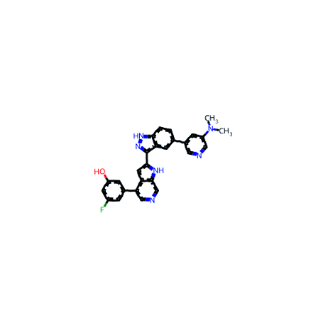 CN(C)c1cncc(-c2ccc3[nH]nc(-c4cc5c(-c6cc(O)cc(F)c6)cncc5[nH]4)c3c2)c1